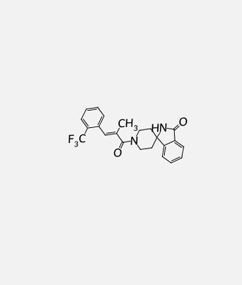 C/C(=C\c1ccccc1C(F)(F)F)C(=O)N1CCC2(CC1)NC(=O)c1ccccc12